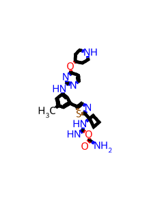 Cc1cc(Nc2nccc(OC3CCNCC3)n2)cc(-c2cnc(C3(NC(=N)OC(N)=O)CCC3)s2)c1